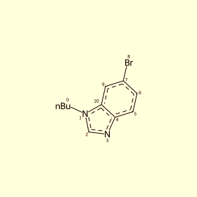 CCCCn1cnc2ccc(Br)cc21